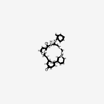 Cc1ccccc1/N=C1\CCCCN2C=C(C=CC2)c2ccc(=O)cc(n2)Cc2cccc(c2)C(=O)N1